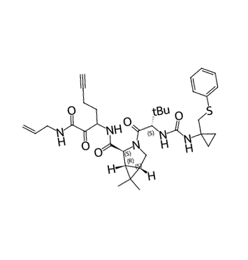 C#CCCC(NC(=O)[C@@H]1[C@@H]2[C@H](CN1C(=O)[C@@H](NC(=O)NC1(CSc3ccccc3)CC1)C(C)(C)C)C2(C)C)C(=O)C(=O)NCC=C